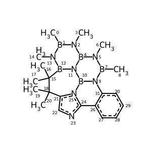 CB1N(C)B2N(C)B(C)N3B4N2B(N1C)C(C)(C)C(C)(C)c1cnc(n14)-c1ccccc13